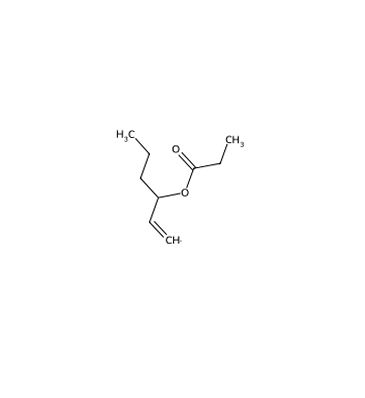 [CH]=CC(CCC)OC(=O)CC